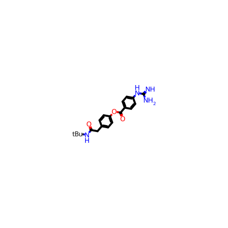 CC(C)(C)NC(=O)Cc1ccc(OC(=O)c2ccc(NC(=N)N)cc2)cc1